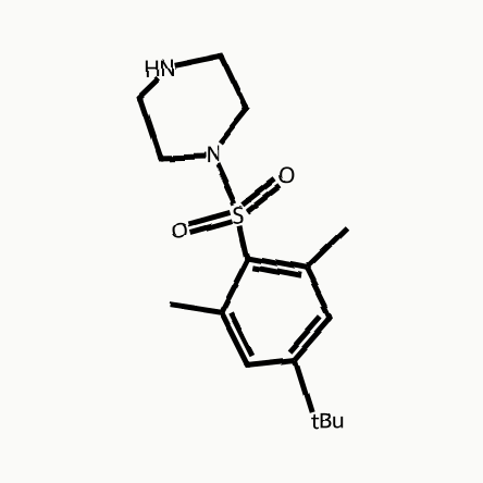 Cc1cc(C(C)(C)C)cc(C)c1S(=O)(=O)N1CCNCC1